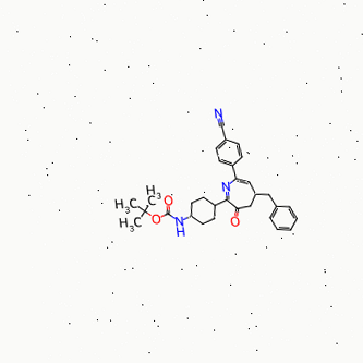 CC(C)(C)OC(=O)NC1CCC(C2=NC(c3ccc(C#N)cc3)=CC(Cc3ccccc3)CC2=O)CC1